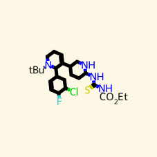 CCOC(=O)NC(=S)NC1CCC(C2=CCCN(C(C)(C)C)C2C2C=CC(F)C(Cl)C2)CN1